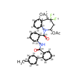 CC(=O)OC1CC(F)(F)C(OC(C)=O)c2ccccc2N1C(=O)c1ccccc1NC(=O)c1ccccc1-c1ccc(C)cc1